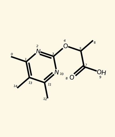 Cc1nc(OC(C)C(=O)O)nc(C)c1C